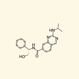 CC(C)Nc1ncc2ccc(C(=O)N[C@H](CO)c3ccccc3)cc2n1